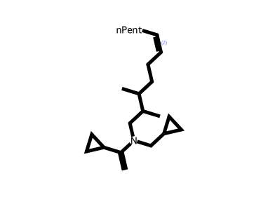 C=C(C1CC1)N(CC1CC1)CC(C)C(C)CC/C=C\CCCCC